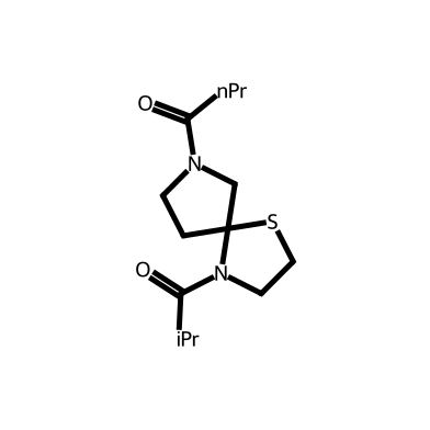 CCCC(=O)N1CCC2(C1)SCCN2C(=O)C(C)C